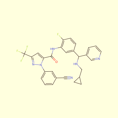 N#Cc1cccc(-n2nc(C(F)(F)F)cc2C(=O)Nc2cc(C(NCC3CC3)c3cccnc3)ccc2F)c1